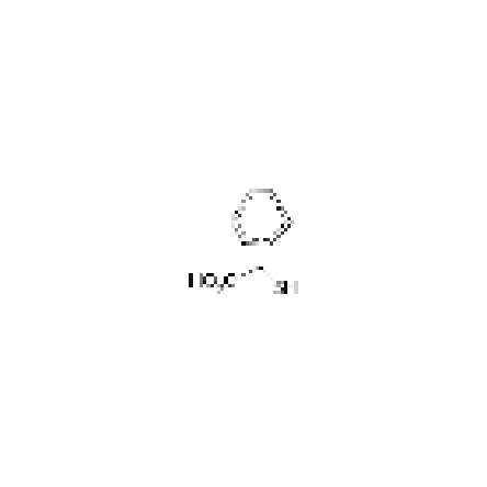 O=C(O)CS.c1ccccc1